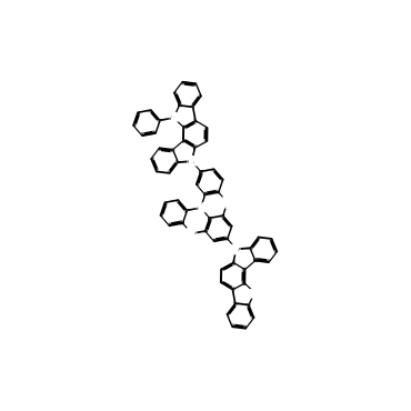 c1ccc(-n2c3ccccc3c3ccc4c(c5ccccc5n4-c4ccc5c(c4)B4c6ccccc6Oc6cc(-n7c8ccccc8c8c9sc%10ccccc%10c9ccc87)cc(c64)O5)c32)cc1